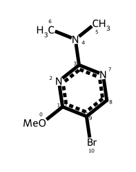 COc1nc(N(C)C)ncc1Br